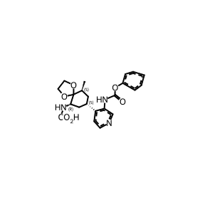 C[C@H]1C[C@H](c2ccncc2NC(=O)Oc2ccccc2)C[C@@H](NC(=O)O)C12OCCO2